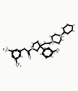 O=C(Cc1cc(C(F)(F)F)cc(C(F)(F)F)c1)N1CCC(CCN2CCN(C3CCCCC3)CC2)(c2cccc(Cl)c2)C1